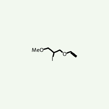 C=COCC(I)COC